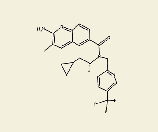 Cc1cc2cc(C(=O)N(Cc3ccc(C(F)(F)F)cn3)[C@H](C)CC3CC3)ccc2nc1N